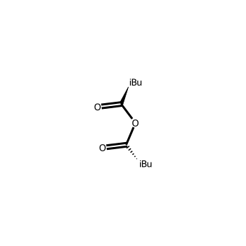 CC[C@H](C)C(=O)OC(=O)[C@@H](C)CC